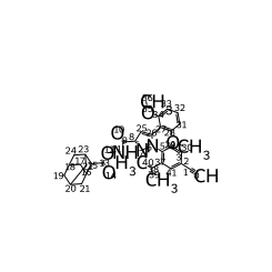 C#Cc1ccc(-n2nc(C(=O)NOC(=O)C3C4CC5CC(C4)CC3C5)cc2-c2c(OC)cccc2OC)c(C(C)C)c1